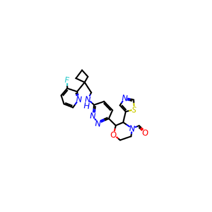 O=CN1CCOC(c2ccc(NCC3(c4ncccc4F)CCC3)nn2)C1c1cncs1